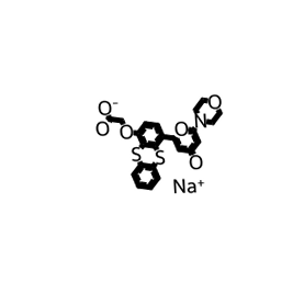 O=C([O-])COc1ccc(-c2cc(=O)cc(N3CCOCC3)o2)c2c1Sc1ccccc1S2.[Na+]